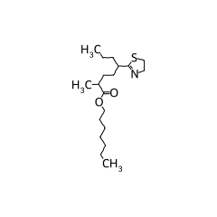 CCCCCCCOC(=O)C(C)CCC(CCC)C1=NCCS1